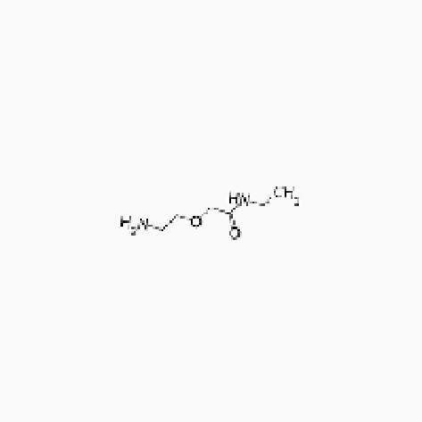 CCNC(=O)COCCN